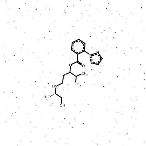 CC(C)C(CCN[C@@H](C)CO)OC(=O)c1ccccc1-n1nccn1